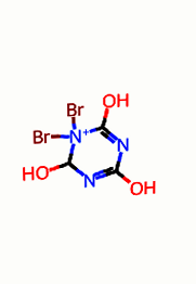 OC1=NC(O)[N+](Br)(Br)C(O)=N1